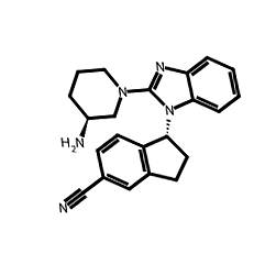 N#Cc1ccc2c(c1)CC[C@H]2n1c(N2CCC[C@H](N)C2)nc2ccccc21